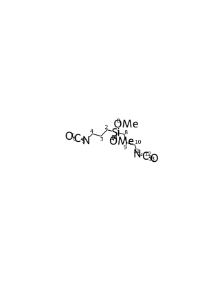 CO[Si](CCCN=C=O)(CCCN=C=O)OC